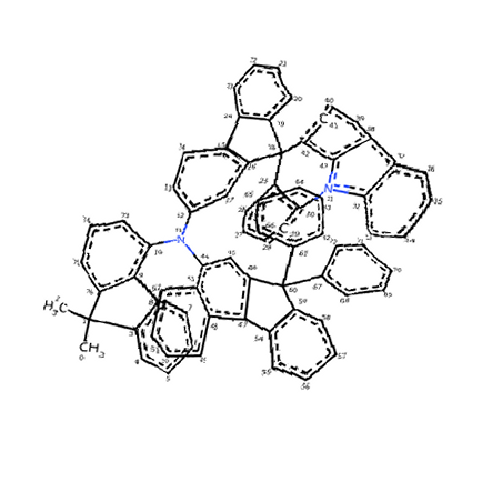 CC1(C)c2ccccc2-c2c(N(c3ccc4c(c3)C3(c5ccccc5-4)c4ccccc4-n4c5ccccc5c5cccc3c54)c3cc4c(c5ccccc35)-c3ccccc3C4(c3ccccc3)c3ccccc3)cccc21